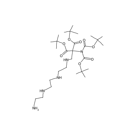 CC(C)(C)OC(=O)N(C(=O)OC(C)(C)C)C(CNCCNCCNCCN)(C(=O)OC(C)(C)C)C(=O)OC(C)(C)C